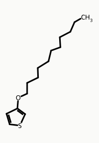 CCCCCCCCCCCOc1ccsc1